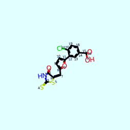 O=C1NC(=S)SC1=Cc1ccc(-c2cc(C(=O)O)ccc2Cl)o1